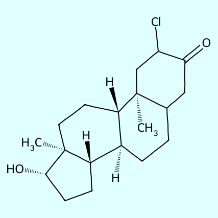 C[C@]12CC[C@H]3[C@@H](CCC4CC(=O)C(Cl)C[C@@]43C)[C@@H]1CC[C@@H]2O